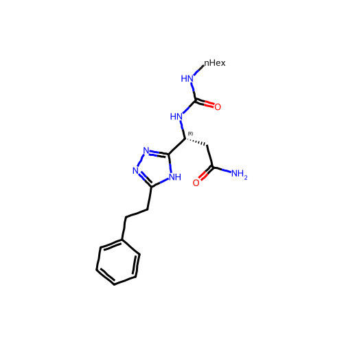 CCCCCCNC(=O)N[C@H](CC(N)=O)c1nnc(CCc2ccccc2)[nH]1